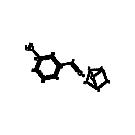 C1CC2CC1O2.O=Cc1cccc(O)c1